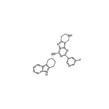 Fc1cncc(-c2nc(N[C@@H]3CCc4[nH]c5ccccc5c4C3)n3nc4c(c3n2)CNCC4)c1